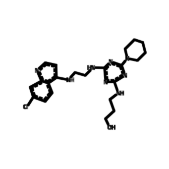 OCCCNc1nc(NCCNc2ccnc3cc(Cl)ccc23)nc(N2CCCCC2)n1